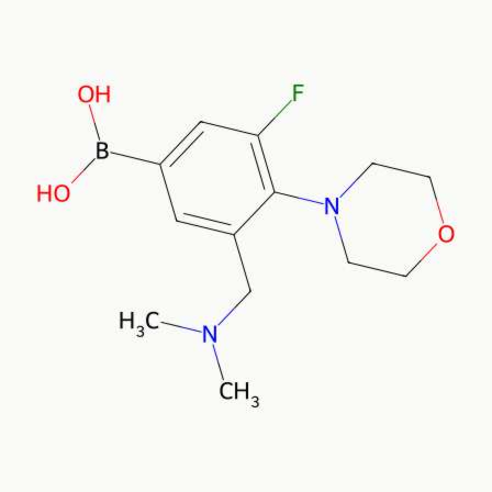 CN(C)Cc1cc(B(O)O)cc(F)c1N1CCOCC1